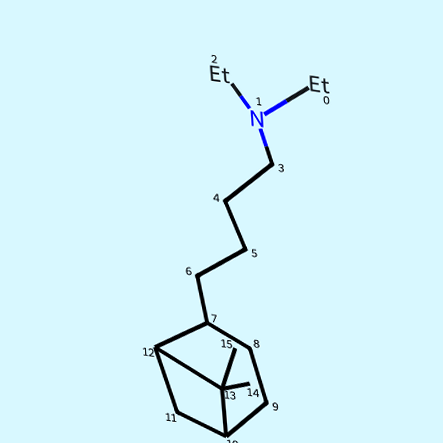 CCN(CC)CCCCC1CCC2CC1C2(C)C